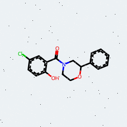 O=C(c1cc(Cl)ccc1O)N1CCOC(c2ccccc2)C1